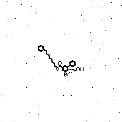 CN(CCCCCCCCc1ccccc1)C(=O)c1cc(Br)c(OCCO)c(-c2ccccc2)c1